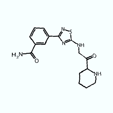 NC(=O)c1cccc(-c2nsc(NCC(=O)C3CCCCN3)n2)c1